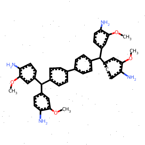 COc1cc(C(c2ccc(-c3ccc(C(c4ccc(N)c(OC)c4)c4ccc(N)c(OC)c4)cc3)cc2)c2ccc(N)c(OC)c2)ccc1N